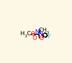 CCOC(=O)c1nc(C)n2c1COc1cc(F)ccc1-2